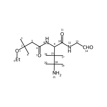 CCOC(C)(C)CC(=O)NC(C(=O)NCC=O)C(C)(C)C(C)(C)N